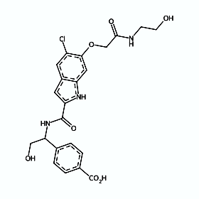 O=C(COc1cc2[nH]c(C(=O)NC(CO)c3ccc(C(=O)O)cc3)cc2cc1Cl)NCCO